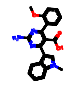 COc1ccccc1-c1nc(N)nc(-c2cn(C)c3ccccc23)c1C(=O)O